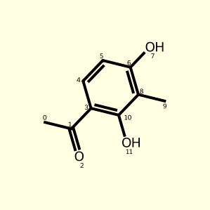 CC(=O)c1ccc(O)c(C)c1O